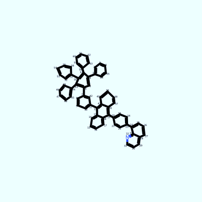 c1ccc(-c2cc(-c3cccc(-c4c5ccccc5c(-c5ccc(-c6cccc7cccnc67)cc5)c5ccccc45)c3)c(-c3ccccc3)c(-c3ccccc3)c2-c2ccccc2)cc1